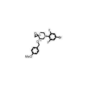 COc1ccc(CO[C@H]2CN(c3c(F)cc(Br)cc3F)CC[C@@]23CO3)cc1